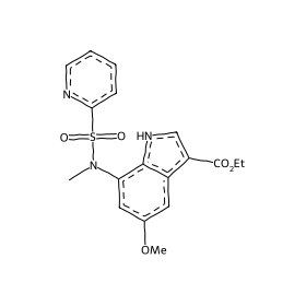 CCOC(=O)c1c[nH]c2c(N(C)S(=O)(=O)c3ccccn3)cc(OC)cc12